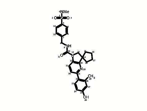 CNS(=O)(=O)c1ccc(CNC(=O)N2CC3(CCCC3)c3nc(-c4ccc(O)cc4C)ccc32)cc1